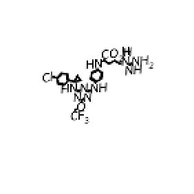 N=C(N)NCCC[C@@H](Nc1ccc(Nc2nc(NC3(c4ccc(Cl)cc4)CC3)nc(OCC(F)(F)F)n2)cc1)C(=O)O